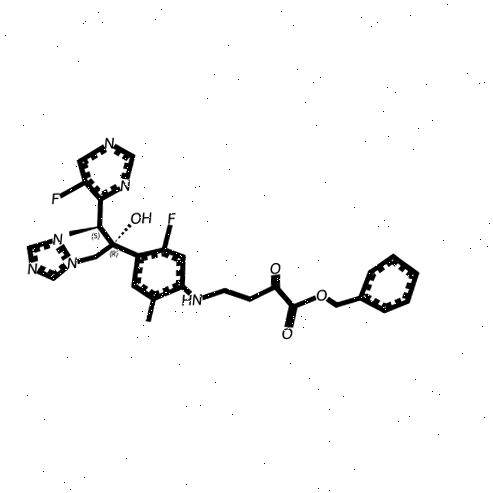 Cc1cc([C@@](O)(Cn2cncn2)[C@@H](C)c2ncncc2F)c(F)cc1NCCC(=O)C(=O)OCc1ccccc1